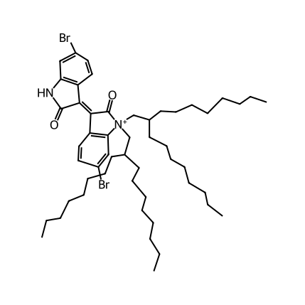 CCCCCCCCC(CCCCCCCC)C[N+]1(CC(CCCCCCCC)CCCCCCCC)C(=O)/C(=C2/C(=O)Nc3cc(Br)ccc32)c2ccc(Br)cc21